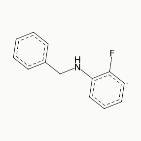 Fc1[c]cccc1NCc1ccccc1